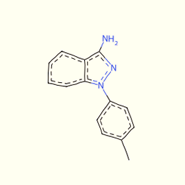 Cc1ccc(-n2nc(N)c3ccccc32)cc1